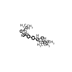 COC(=O)N[C@H](C(=O)N1CCC[C@H]1c1ncc(-c2ccc(-c3ccc(-c4cnc(C5CCCN5C(=O)CNC(C)C)[nH]4)cc3)cc2)[nH]1)C(C)C